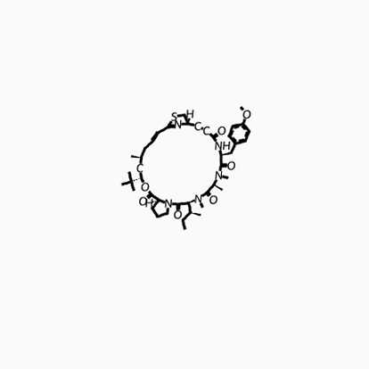 CC[C@H](C)[C@H]1C(=O)N2CCC[C@H]2C(=O)O[C@H](C(C)(C)C)C[C@@H](C)C/C=C/C2=N[C@@H](CCC(=O)N[C@@H](Cc3ccc(OC)cc3)C(=O)N(C)[C@@H](C)C(=O)N1C)CS2